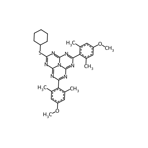 COc1cc(C)c(C2=NC3=NC(SC4CCCCC4)=NC4=NC(c5c(C)cc(OC)cc5C)=NC(=N2)N34)c(C)c1